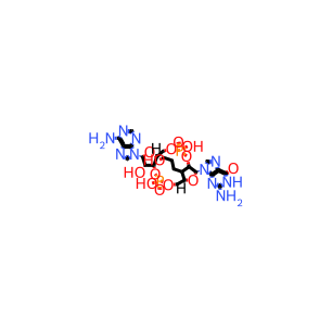 Nc1nc2c(ncn2[C@@H]2O[C@@H]3COP(=O)(O)OC4[C@@H](COP(=O)(O)OC2C3CCCO)O[C@@H](n2cnc3c(N)ncnc32)[C@H]4O)c(=O)[nH]1